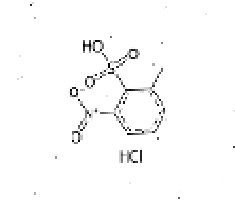 Cc1cccc([N+](=O)[O-])c1S(=O)(=O)O.Cl